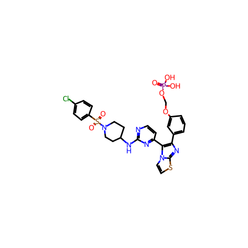 O=P(O)(O)OCOc1cccc(-c2nc3sccn3c2-c2ccnc(NC3CCN(S(=O)(=O)c4ccc(Cl)cc4)CC3)n2)c1